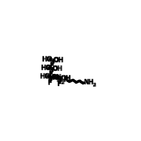 NCCCCCN.OB(O)F.OB(O)F.OB(O)F.OB(O)F